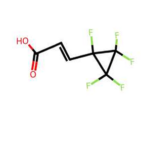 O=C(O)C=CC1(F)C(F)(F)C1(F)F